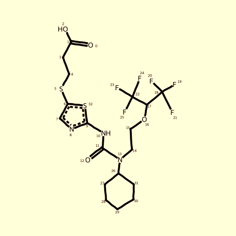 O=C(O)CCSc1cnc(NC(=O)N(CCOC(C(F)(F)F)C(F)(F)F)C2CCCCC2)s1